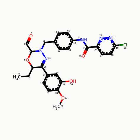 CCC1OC(C=O)N(Cc2ccc(NC(=O)c3ccc(Cl)nn3)cc2)N=C1c1ccc(OC)c(O)c1